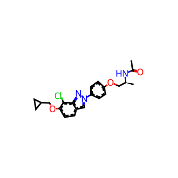 CC(=O)N[C@@H](C)COc1ccc(-n2cc3ccc(OCC4CC4)c(Cl)c3n2)cc1